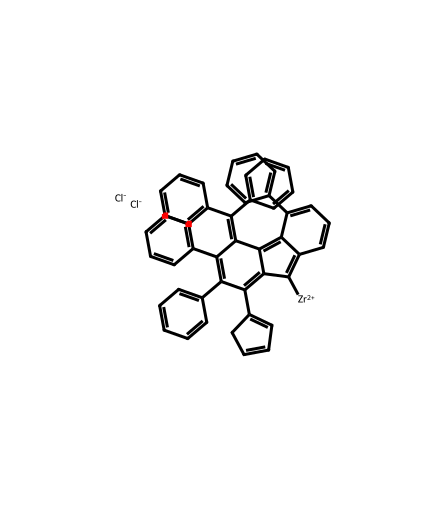 [Cl-].[Cl-].[Zr+2][C]1=c2cccc(-c3ccccc3)c2=c2c1c(C1=CC=CC1)c(-c1ccccc1)c(-c1ccccc1)c2=C(c1ccccc1)c1ccccc1